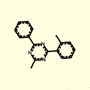 Cc1nc(-c2ccccc2)nc(-c2ccccc2C)n1